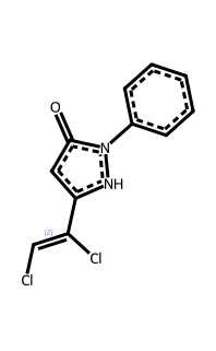 O=c1cc(/C(Cl)=C/Cl)[nH]n1-c1ccccc1